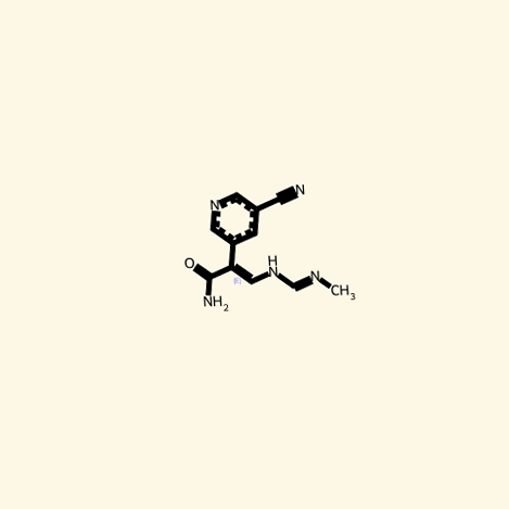 CN=CN/C=C(/C(N)=O)c1cncc(C#N)c1